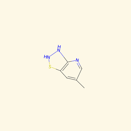 Cc1cnc2c(c1)SNN2